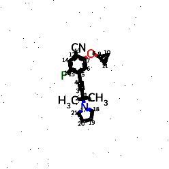 CC(C)(C#Cc1cc(OC2CC2)c(C#N)cc1F)N1CCCC1